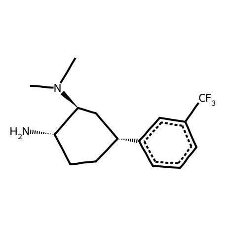 CN(C)[C@H]1C[C@H](c2cccc(C(F)(F)F)c2)CC[C@@H]1N